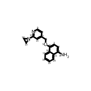 Nc1ccc(OCc2ccnc(N3CC3)c2)c2ccccc12